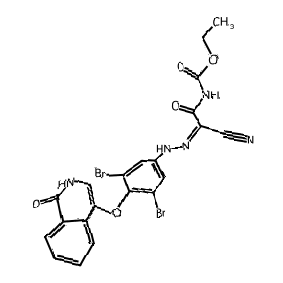 CCOC(=O)NC(=O)/C(C#N)=N\Nc1cc(Br)c(Oc2c[nH]c(=O)c3ccccc23)c(Br)c1